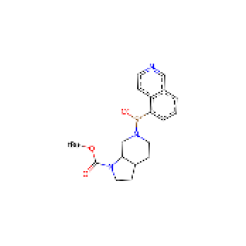 CC(C)(C)OC(=O)N1CCC2CCN([S+]([O-])c3cccc4cnccc34)CC21